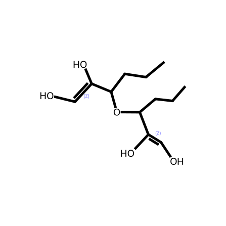 CCCC(OC(CCC)/C(O)=C/O)/C(O)=C/O